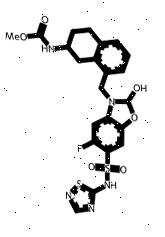 COC(=O)NC1CCc2cccc(CN3c4cc(F)c(S(=O)(=O)Nc5ncns5)cc4OC3O)c2C1